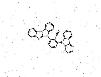 N#Cc1c(-n2c3ccccc3c3ccccc32)cccc1-n1c2ccccc2n2c3ccccc3nc12